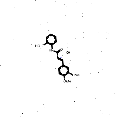 COc1ccc(/C=C/C(=O)Nc2ccccc2C(=O)O)cc1OC.[KH]